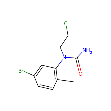 Cc1ccc(Br)cc1N(CCCl)C(N)=O